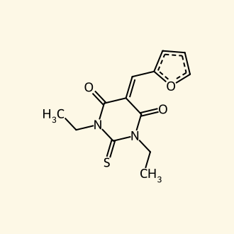 CCN1C(=O)C(=Cc2ccco2)C(=O)N(CC)C1=S